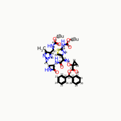 Cc1nn(C[C@H]2NC(=O)[C@H]2NC(=O)C(=NOC2(C(=O)OC(c3ccccc3)c3ccccc3)CC2)c2csc(NC(=O)OC(C)(C)C)n2)nc1CNC(=O)OC(C)(C)C